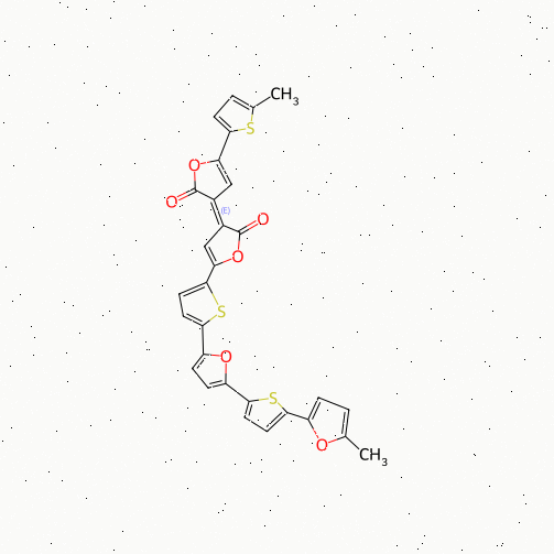 Cc1ccc(-c2ccc(-c3ccc(-c4ccc(C5=C/C(=C6/C=C(c7ccc(C)s7)OC6=O)C(=O)O5)s4)o3)s2)o1